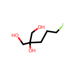 OCC(O)(CO)CCCF